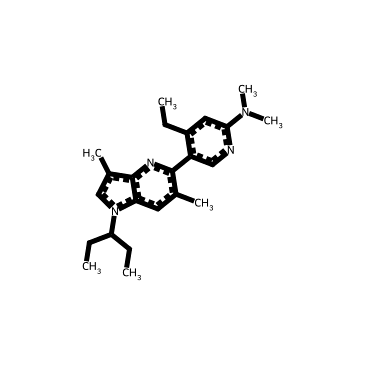 CCc1cc(N(C)C)ncc1-c1nc2c(C)cn(C(CC)CC)c2cc1C